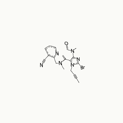 C=C(c1c(N(C)C=O)nc(Br)n1CC#CC)N(C)Cc1ncccc1C#N